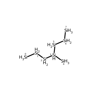 [SiH3][SiH2][SiH2][SiH]([SiH3])[SiH2][SiH2][SiH3]